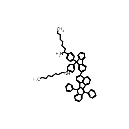 CCCCCCCCNc1ccc(C2(c3ccc(C(N)CCCCCCC)cc3)c3ccccc3-c3ccc(-c4ccc5c6c(cccc46)-c4c-5c(-c5ccccc5)c5ccccc5c4-c4ccccc4)cc32)cc1